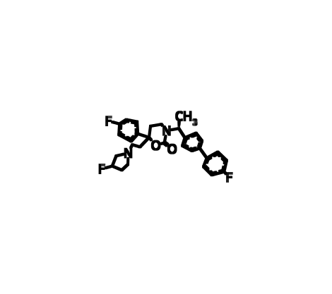 C[C@@H](c1ccc(-c2ccc(F)cc2)cc1)N1CCC(CCN2CCC(F)C2)(c2ccc(F)cc2)OC1=O